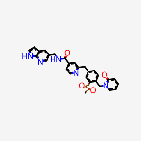 CS(=O)(=O)c1cc(Cc2cc(C(=O)NCc3cnc4[nH]ccc4c3)ccn2)ccc1Cn1ccccc1=O